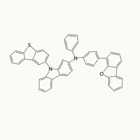 c1ccc(N(c2ccc(-c3cccc4c3oc3ccccc34)cc2)c2ccc3c4ccccc4n(-c4ccc5sc6ccccc6c5c4)c3c2)cc1